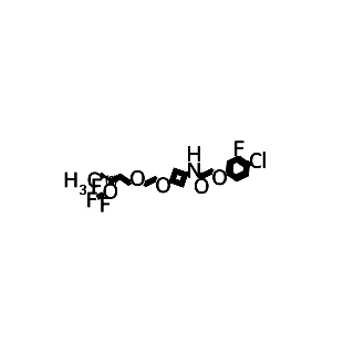 CC[C@@H](CCOCCO[C@H]1C[C@@H](NC(=O)COc2ccc(Cl)c(F)c2)C1)OC(F)(F)F